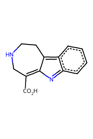 O=C(O)C1=C2N=c3ccccc3=C2CCNC1